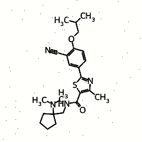 Cc1nc(-c2ccc(OCC(C)C)c(C#N)c2)sc1C(=O)NCC1(N(C)C)CCCC1